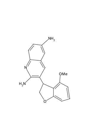 COc1cccc2c1C(c1cc3cc(N)ccc3nc1N)CO2